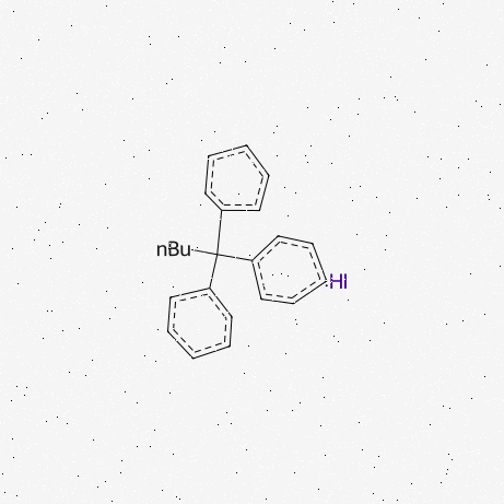 CCCCC(c1cc[c]cc1)(c1ccccc1)c1ccccc1.I